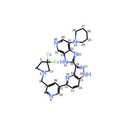 FC1(F)CCN(Cc2cncc(-c3ccc4[nH]nc(-c5nc6c(N7CCCCC7)cncc6[nH]5)c4n3)c2)C1